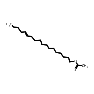 CCCC/C=C/CCCCCCCCCCCCOC(C)=O